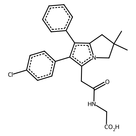 CC1(C)Cc2c(-c3ccccc3)c(-c3ccc(Cl)cc3)c(CC(=O)NCC(=O)O)n2C1